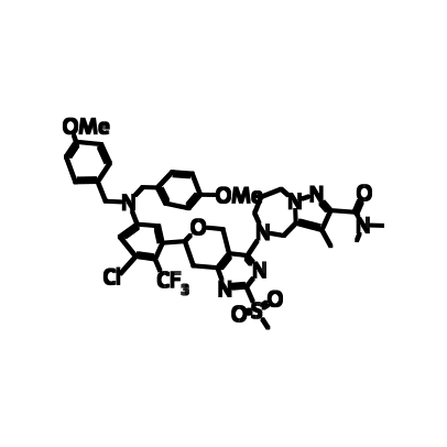 COc1ccc(CN(Cc2ccc(OC)cc2)c2cc(Cl)c(C(F)(F)F)c(C3Cc4nc(S(C)(=O)=O)nc(N5CCCn6nc(C(=O)N(C)C)c(C)c6C5)c4CO3)c2)cc1